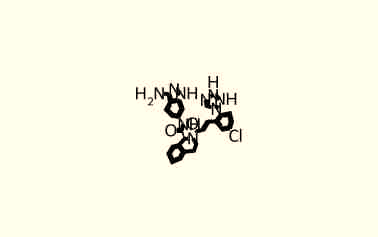 Nc1n[nH]c2cc(NC(=O)[C@@H]3c4ccccc4CCN3C(=O)/C=C/c3cc(Cl)ccc3N3C=NNN3)ccc12